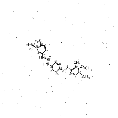 COc1c(C)cnc(COc2ccc(NC(=O)Nc3ccc(Cl)c(C(F)(F)F)c3)cc2)c1C